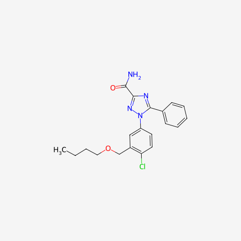 CCCCOCc1cc(-n2nc(C(N)=O)nc2-c2ccccc2)ccc1Cl